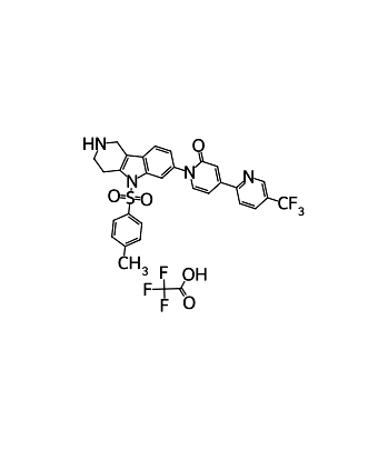 Cc1ccc(S(=O)(=O)n2c3c(c4ccc(-n5ccc(-c6ccc(C(F)(F)F)cn6)cc5=O)cc42)CNCC3)cc1.O=C(O)C(F)(F)F